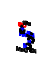 COc1ncc(N2CCc3ncnc(N[C@H]4CCN(C(=O)OC(C)(C)C)C4)c3C2)cc1C#N